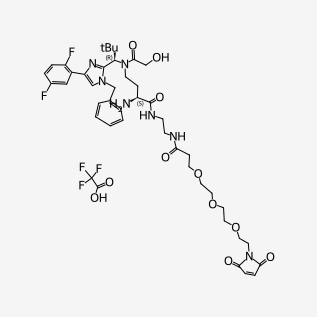 CC(C)(C)[C@H](c1nc(-c2cc(F)ccc2F)cn1Cc1ccccc1)N(CC[C@H](N)C(=O)NCCNC(=O)CCOCCOCCOCCN1C(=O)C=CC1=O)C(=O)CO.O=C(O)C(F)(F)F